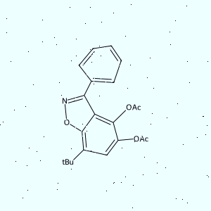 CC(=O)Oc1cc(C(C)(C)C)c2onc(-c3ccccc3)c2c1OC(C)=O